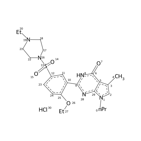 CCCn1cc(C)c2c(=O)[nH]c(-c3cc(S(=O)(=O)N4CCN(CC)CC4)ccc3OCC)nc21.Cl